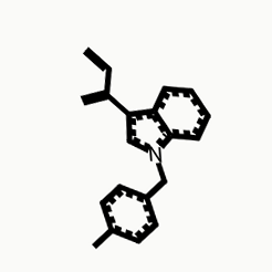 C=CC(=C)c1cn(Cc2ccc(C)cc2)c2ccccc12